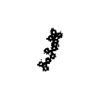 C1=CC2c3ccccc3N(c3ccc(-c4cccc(N(c5ccccc5)c5ccc6c(c5)Oc5cc7c(cc5O6)-c5ccccc5C75c6ccccc6-c6ccccc65)c4)cc3)C2C=C1